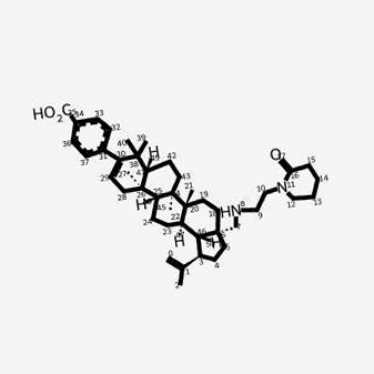 C=C(C)[C@@H]1CC[C@]2(CNCCN3CCCCC3=O)CC[C@]3(C)[C@H](CC[C@@H]4[C@@]5(C)CC=C(c6ccc(C(=O)O)cc6)C(C)(C)[C@@H]5CC[C@]43C)[C@@H]12